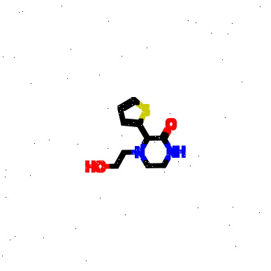 O=C1NCCN(CCO)C1c1cccs1